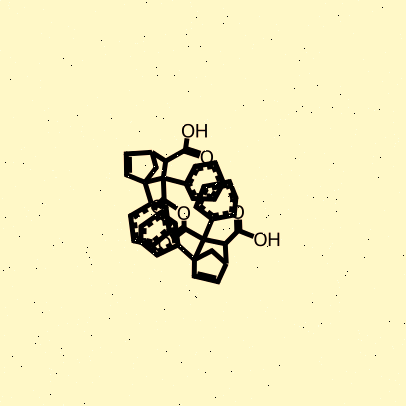 O=C(O)C1C2C=CC(c3ccccc3)(C2)C1(C(=O)OC(=O)C1(c2ccccc2)C(C(=O)O)C2C=CC1(c1ccccc1)C2)c1ccccc1